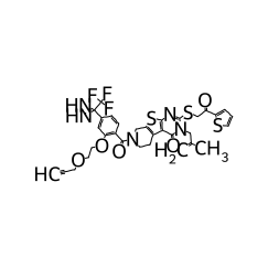 C#CCOCCOc1cc(C2(C(F)(F)F)NN2)ccc1C(=O)N1CCc2c(sc3nc(SCC(=O)c4cccs4)n(CC(=C)C)c(=O)c23)C1